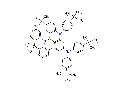 CC(C)(C)c1ccc(N(c2ccc(C(C)(C)C)cc2)c2cc3c4c(c2)-n2c5ccc(C(C)(C)C)cc5c5cc(C(C)(C)C)cc(c52)B4N2c4ccccc4C(C)(C)c4cccc-3c42)cc1